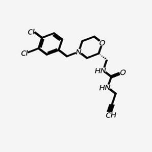 C#CCNC(=O)NC[C@@H]1CN(Cc2ccc(Cl)c(Cl)c2)CCO1